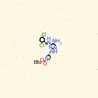 C[C@@H](Nc1nc(NC[C@@H]2CCN(C(=O)OC(C)(C)C)C2)ncc1N)c1cc(Cl)ccc1Cl